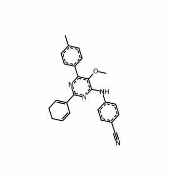 COc1c(Nc2ccc(C#N)cc2)nc(C2=CCCC=C2)nc1-c1ccc(C)cc1